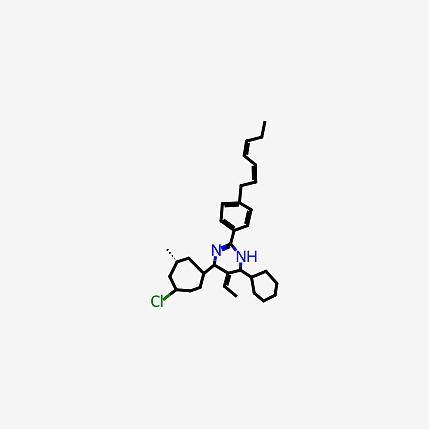 C/C=C1/C(C2CCC(Cl)C[C@H](C)C2)N=C(c2ccc(C/C=C\C=C/CC)cc2)NC1C1CCCCC1